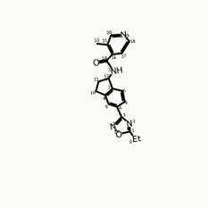 CCc1nc(-c2ccc3c(c2)CCC3NC(=O)c2ccncc2C)no1